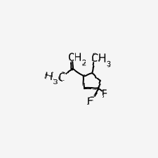 C=C(C)C1CC(F)(F)CC1C